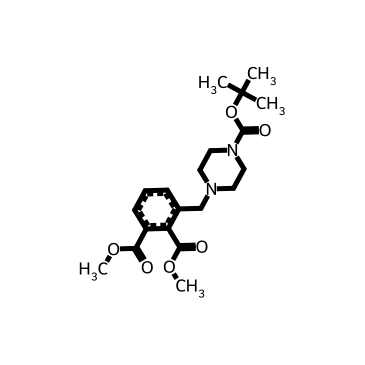 COC(=O)c1cccc(CN2CCN(C(=O)OC(C)(C)C)CC2)c1C(=O)OC